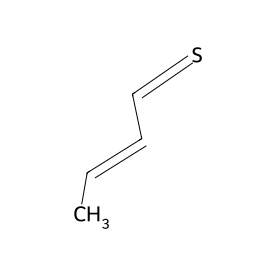 CC=CC=S